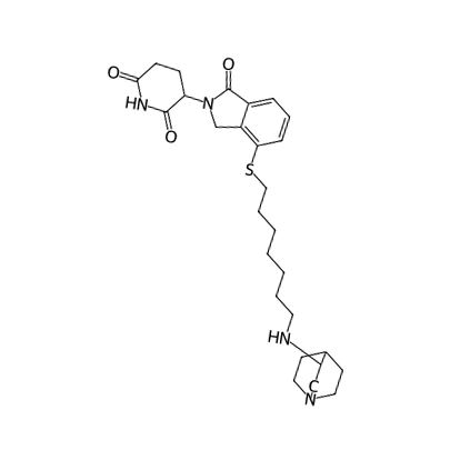 O=C1CCC(N2Cc3c(SCCCCCCCNC4CN5CCC4CC5)cccc3C2=O)C(=O)N1